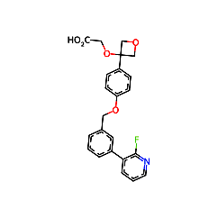 O=C(O)COC1(c2ccc(OCc3cccc(-c4cccnc4F)c3)cc2)COC1